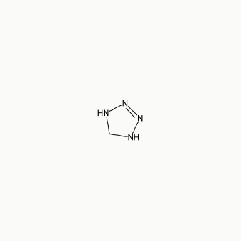 [CH]1NN=NN1